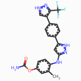 Cc1cc(OC(N)=O)ccc1Nc1cc(-c2ccc(-c3c[nH]nc3C(F)(F)F)cc2)[nH]n1